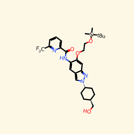 CC(C)(C)[Si](C)(C)OCCOc1cc2nn([C@H]3CC[C@H](CO)CC3)cc2cc1NC(=O)c1cccc(C(F)(F)F)n1